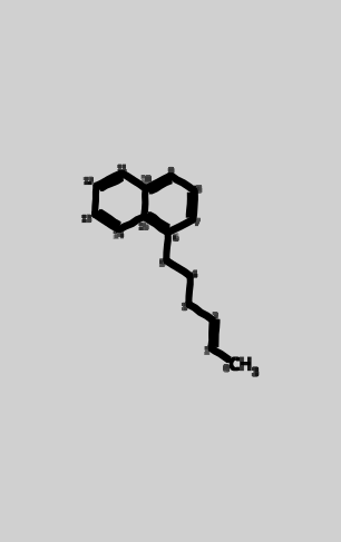 CC=CCCCc1c[c]cc2ccccc12